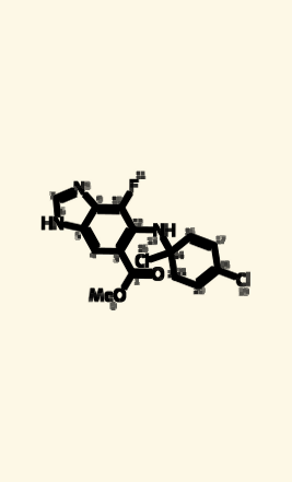 COC(=O)c1cc2[nH]cnc2c(F)c1NC1(Cl)C=CC(Cl)=CC1